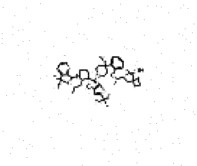 CCC[C@H]1N(C(=O)c2ncccc2C(F)(F)F)CCC[C@@]1(Oc1csc(C(F)(F)F)c1)C(=O)N1CCC(OC)(c2ccccc2O[C@H](C)CCC2(C(=O)O)CCC2)CC1